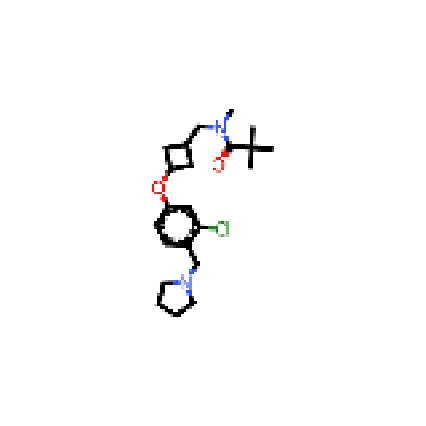 CN(CC1CC(Oc2ccc(CN3CCCC3)c(Cl)c2)C1)C(=O)C(C)(C)C